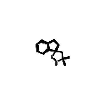 CC1(C)CC2(CCc3ccccc32)ON1